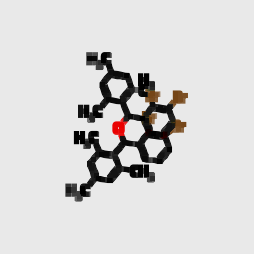 Cc1cc(C)c(C(OC(c2cccc(Br)c2Br)c2c(C)cc(C)cc2C)c2cccc(Br)c2Br)c(C)c1